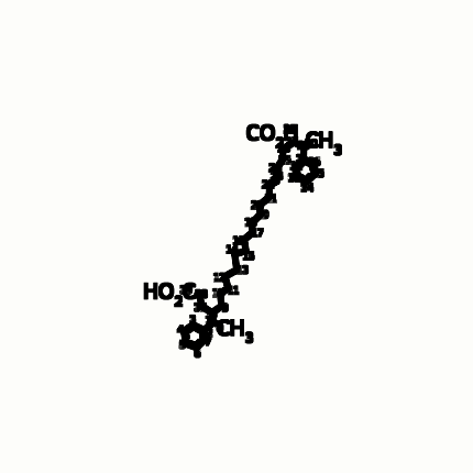 CC(c1ccccc1)C(CCCCCCCCCCCCCCCCCCC(C(=O)O)C(C)c1ccccc1)CCC(=O)O